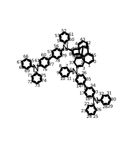 C1=CC23C=C(N(c4ccccc4)c4ccc(-c5ccc(N(c6ccccc6)c6ccccc6)cc5)cc4)CC=C2C2C4=CC=CC25CC(N(c2ccccc2)c2ccc(-c6ccc(N(c7ccccc7)c7ccccc7)cc6)cc2)=CC=C5C3C4=C1